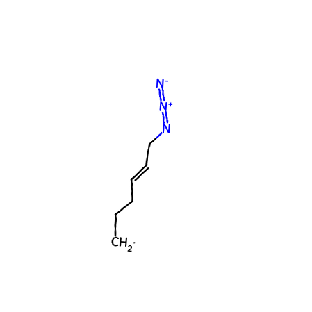 [CH2]CCC=CCN=[N+]=[N-]